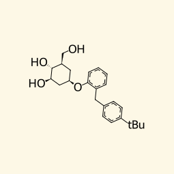 CC(C)(C)c1ccc(Cc2ccccc2O[C@@H]2C[C@H](CO)[C@@H](O)[C@H](O)C2)cc1